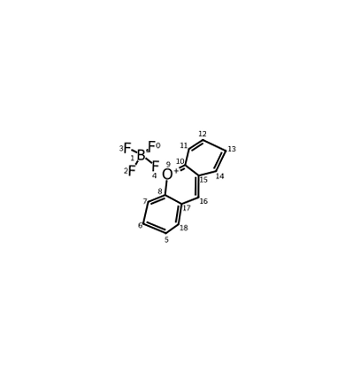 F[B-](F)(F)F.c1ccc2[o+]c3ccccc3cc2c1